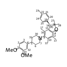 COc1ccc(C2CCN(c3c(C)c(C)c4c(c3C)[C@@H](c3ccc(C)cc3)C(C)(C)O4)CC2)cc1OC